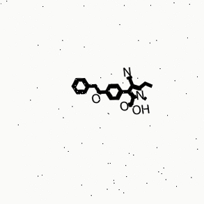 CCc1c(C#N)c(-c2ccc(C(=O)Cc3ccccc3)cc2)c(C(=O)O)n1C